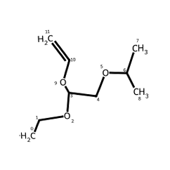 [CH2]COC(COC(C)C)OC=C